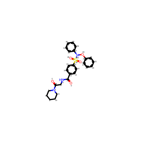 O=C(NCC(=O)N1CCCCC1)c1ccc(S(=O)(=O)N(Oc2ccccc2)c2ccccc2)cc1